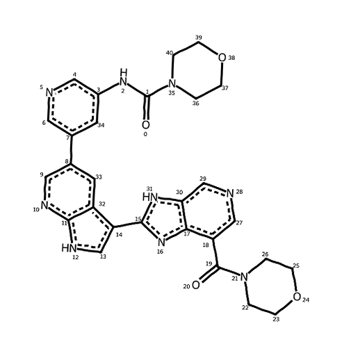 O=C(Nc1cncc(-c2cnc3[nH]cc(-c4nc5c(C(=O)N6CCOCC6)cncc5[nH]4)c3c2)c1)N1CCOCC1